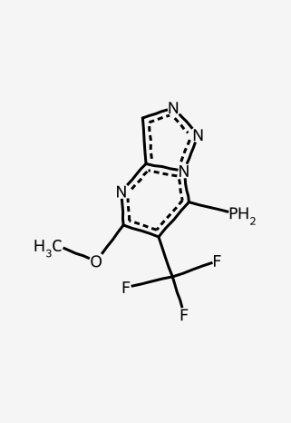 COc1nc2cnnn2c(P)c1C(F)(F)F